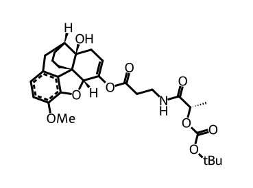 COc1ccc2c3c1O[C@H]1C(OC(=O)CCNC(=O)[C@H](C)OC(=O)OC(C)(C)C)=CC[C@@]4(O)[C@H](CCC[C@]314)C2